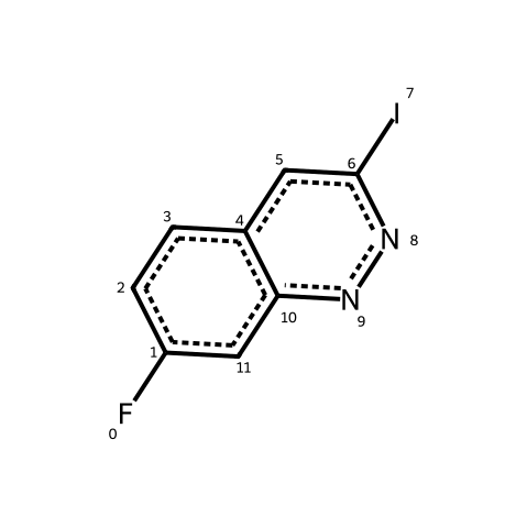 Fc1ccc2cc(I)nnc2c1